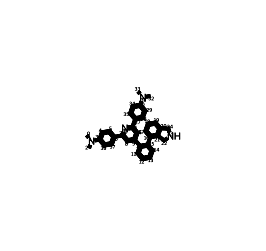 CN(C)c1ccc(-c2cc(-c3ccccc3-c3cccc4c3CNC4)cc(-c3ccc(N(C)C)cc3)n2)cc1